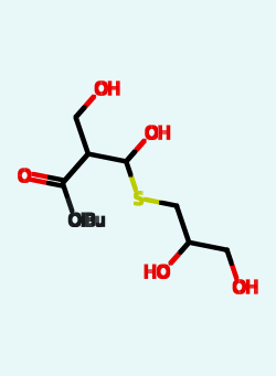 CC(C)COC(=O)C(CO)C(O)SCC(O)CO